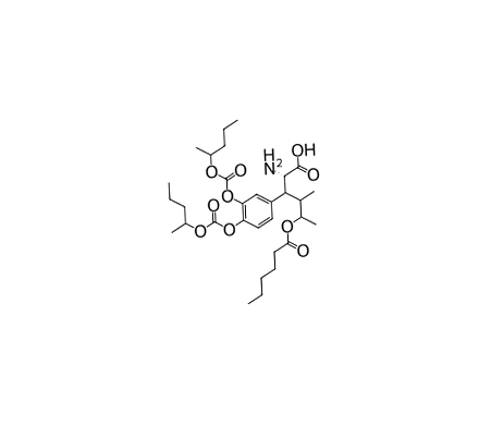 CCCCCC(=O)OC(C)C(C)C(c1ccc(OC(=O)OC(C)CCC)c(OC(=O)OC(C)CCC)c1)[C@H](N)C(=O)O